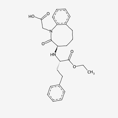 CCOC(=O)[C@H](CCc1ccccc1)N[C@@H]1CCCc2ccccc2N(CC(=O)O)C1=O